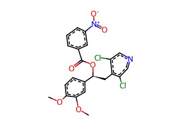 COc1ccc([C@H](Cc2c(Cl)cncc2Cl)OC(=O)c2cccc([N+](=O)[O-])c2)cc1OC